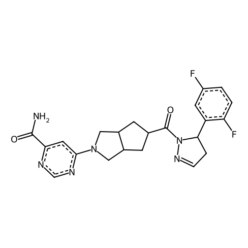 NC(=O)c1cc(N2CC3CC(C(=O)N4N=CCC4c4cc(F)ccc4F)CC3C2)ncn1